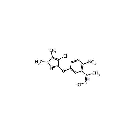 C/C(=N/[O])c1cc(Oc2nn(C)c(C(F)(F)F)c2Cl)ccc1[N+](=O)[O-]